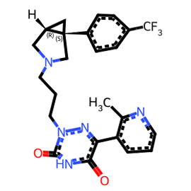 Cc1ncccc1-c1nn(CCCN2C[C@@H]3C[C@]3(c3ccc(C(F)(F)F)cc3)C2)c(=O)[nH]c1=O